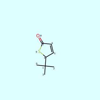 CC(C)(C)C1C=CC(=O)S1